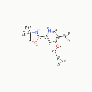 CCC1(CC)COC(c2cc(OCC3CC3)c(C3CC3)cn2)=N1